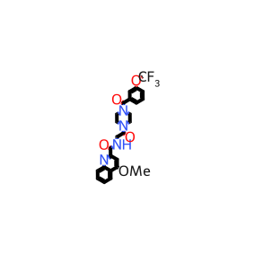 COc1cc(C(=O)NCC(=O)N2CCN(C(=O)c3cccc(OC(F)(F)F)c3)CC2)nc2ccccc12